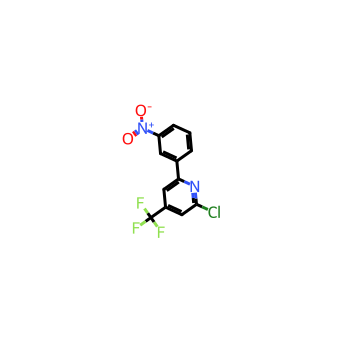 O=[N+]([O-])c1cccc(-c2cc(C(F)(F)F)cc(Cl)n2)c1